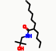 CCCCCCC(CCCC)C(=O)NCC(C)(C)O